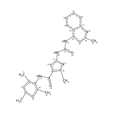 Cc1cc(C)c(NC(=O)c2sc(NC(=O)Nc3cc(C)nc4ccccc34)nc2C)c(C)c1